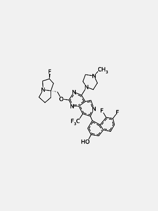 CN1CCN(c2nc(OC[C@]34CCCN3C[C@@H](F)C4)nc3c(C(F)(F)F)c(-c4cc(O)cc5ccc(F)c(F)c45)ncc23)CC1